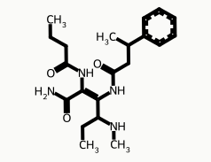 CCCC(=O)NC(C(N)=O)=C(NC(=O)CC(C)c1ccccc1)C(CC)NC